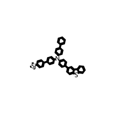 C[Si](C)(C)c1ccc(-c2ccc(N(c3ccc(-c4ccccc4)cc3)c3ccc(-c4ccc5sc6ccccc6c5c4)cc3)cc2)cc1